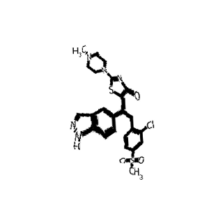 CN1CCN(C2=NC(=O)C(=C(Cc3ccc(S(C)(=O)=O)cc3Cl)c3ccc4[nH]ncc4c3)S2)CC1